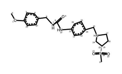 COc1ccc(CNC(=O)Nc2ccc(CN3CC[C@H](S(C)(=O)=O)C3)cc2)cc1